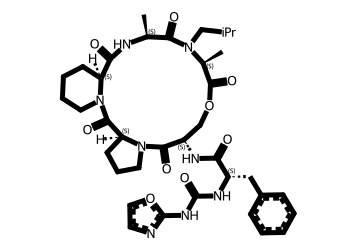 CC(C)CN1C(=O)[C@H](C)NC(=O)[C@@H]2CCCCN2C(=O)[C@@H]2CCCN2C(=O)[C@@H](NC(=O)[C@H](Cc2ccccc2)NC(=O)Nc2ncco2)COC(=O)[C@@H]1C